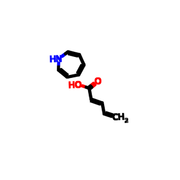 C1=CC=CNC=C1.C=CC=CC(=O)O